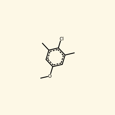 COc1cc(C)c(Cl)c(C)c1